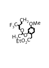 C=C/C(=C\OC(C)Oc1cc(OC)ccc1CC(=O)OCC)C(F)(F)F